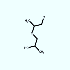 CC(O)COC(C)C[O]